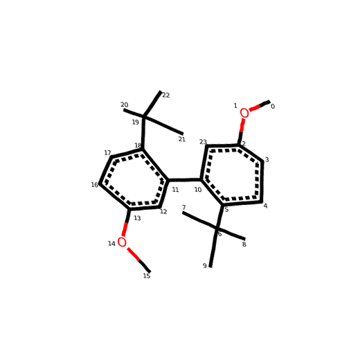 COc1ccc(C(C)(C)C)c(-c2cc(OC)ccc2C(C)(C)C)c1